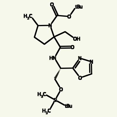 CC1CCC(CO)(C(=O)N[C@@H](CO[Si](C)(C)C(C)(C)C)c2nnco2)N1C(=O)OC(C)(C)C